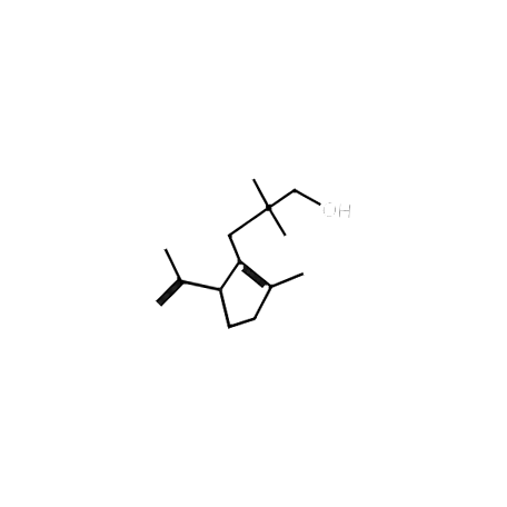 C=C(C)C1CCC(C)=C1CC(C)(C)CO